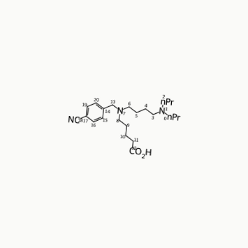 CCCN(CCC)CCCCN(CCCCC(=O)O)Cc1ccc(C#N)cc1